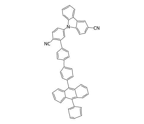 N#Cc1ccc2c(c1)c1ccccc1n2-c1ccc(C#N)c(-c2ccc(-c3ccc(-c4c5ccccc5c(-c5ccccc5)c5ccccc45)cc3)cc2)c1